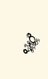 CC(C)C(NC(=O)OCc1ccccc1)C(=O)NC1CCc2ncccc2CCNC(=O)C1=O